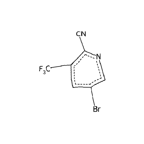 N#Cc1ncc(Br)cc1C(F)(F)F